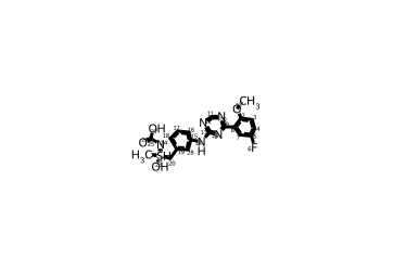 COc1ccc(F)cc1-c1ncnc(Nc2cccc(C[SH](C)(O)=NC(=O)O)c2)n1